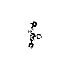 Cc1ccccc1/C=N/Nc1cc(N2CCOCC2)c2nc(-c3ccncc3)cn2n1